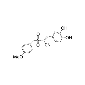 COc1ccc(CS(=O)(=O)C(C#N)=Cc2ccc(O)c(O)c2)cc1